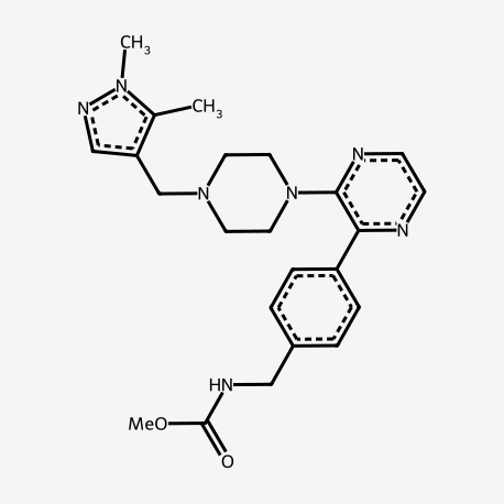 COC(=O)NCc1ccc(-c2nccnc2N2CCN(Cc3cnn(C)c3C)CC2)cc1